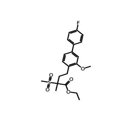 CCOC(=O)C(C)(CCc1ccc(-c2ccc(F)cc2)cc1OC)S(C)(=O)=O